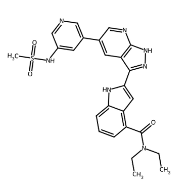 CCN(CC)C(=O)c1cccc2[nH]c(-c3n[nH]c4ncc(-c5cncc(NS(C)(=O)=O)c5)cc34)cc12